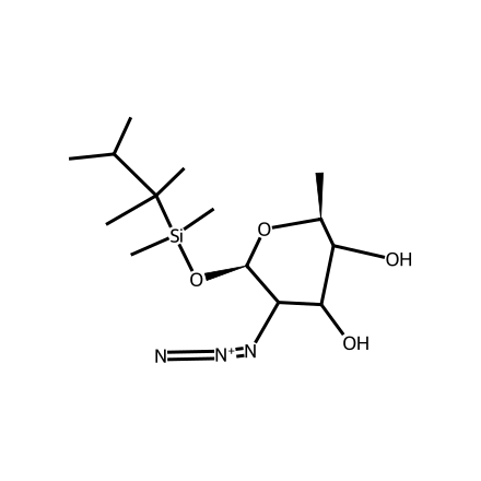 CC(C)C(C)(C)[Si](C)(C)O[C@H]1O[C@@H](C)C(O)C(O)C1N=[N+]=[N-]